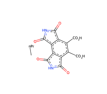 CCCC.O=C(O)c1c(C(=O)O)c2c(=O)[nH]c(=O)c2c2c(=O)[nH]c(=O)c12